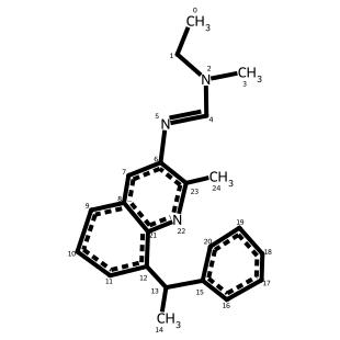 CCN(C)C=Nc1cc2cccc(C(C)c3ccccc3)c2nc1C